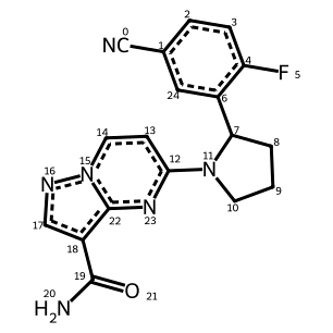 N#Cc1ccc(F)c(C2CCCN2c2ccn3ncc(C(N)=O)c3n2)c1